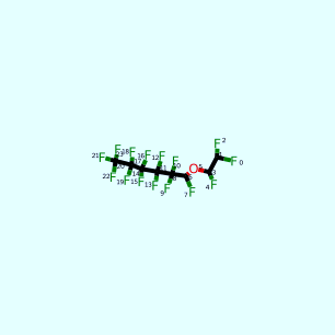 FC(F)C(F)OC(F)C(F)(F)C(F)(F)C(F)(F)C(F)(F)C(F)(F)F